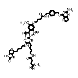 COc1cc(C(OC(=O)NC(CCCCNC(=O)CCC2(C)N=N2)C(=O)NCCCCC2SCC3NC(=O)NC32)C(F)(F)F)c([N+](=O)[O-])cc1OCCCC(=O)NCc1ccc(COc2nc(N)nc3c2N=CC3)cc1